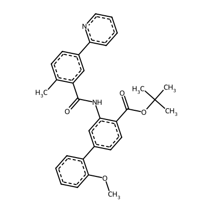 COc1ccccc1-c1ccc(C(=O)OC(C)(C)C)c(NC(=O)c2cc(-c3ccccn3)ccc2C)c1